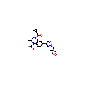 CC(=O)N1c2ccc(-c3cnn(CC4(C)COC4)c3)cc2N(C(=O)C2CC2)CC1C